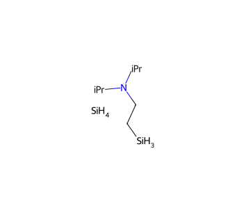 CC(C)N(CC[SiH3])C(C)C.[SiH4]